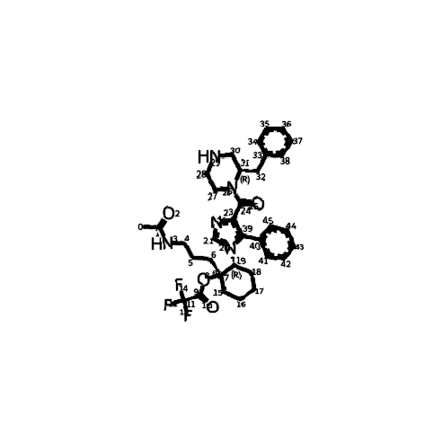 CC(=O)NCCC[C@]1(OC(=O)C(F)(F)F)CCCC[C@H]1n1cnc(C(=O)N2CCNC[C@H]2Cc2ccccc2)c1-c1ccccc1